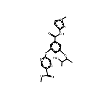 COC(=O)c1cnc(Oc2cc(OC(C)C(C)O)cc(C(=O)Nc3ccn(C)n3)c2)cn1